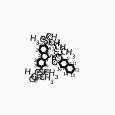 CC[Si](CC)=[Ti+2]([O]c1ccc2ccccc2c1)[CH]1c2cc([Si](C)(C)C)ccc2-c2ccc([Si](C)(C)C)cc21.[Cl-].[Cl-]